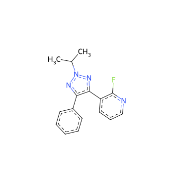 CC(C)n1nc(-c2ccccc2)c(-c2cccnc2F)n1